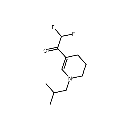 CC(C)CN1C=C(C(=O)C(F)F)CCC1